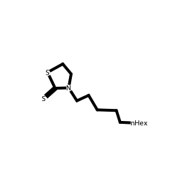 CCCCCCCCCCCN1CCSC1=S